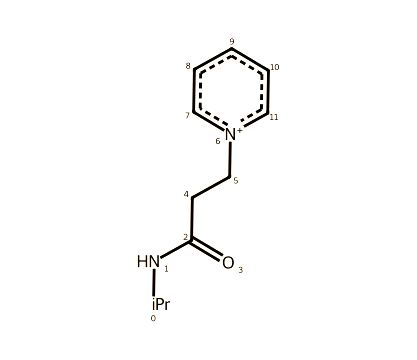 CC(C)NC(=O)CC[n+]1ccccc1